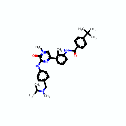 Cc1c(NC(=O)c2ccc(C(C)(C)C)cc2)cccc1-c1cn(C)c(=O)c(Nc2ccc(CN(C)C(C)C)cc2)n1